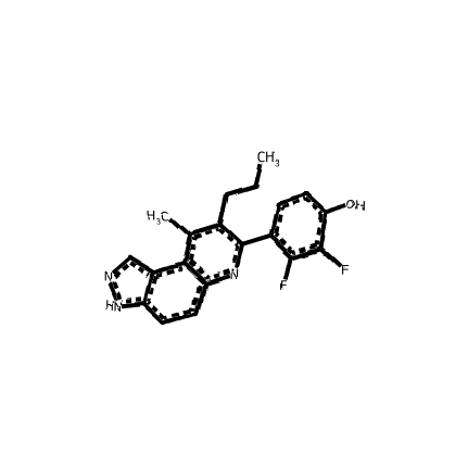 CCCc1c(-c2ccc(O)c(F)c2F)nc2ccc3[nH]ncc3c2c1C